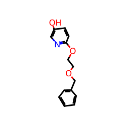 Oc1ccc(OCCOCc2ccccc2)nc1